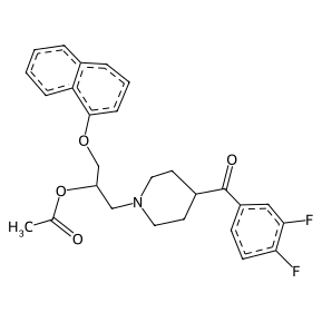 CC(=O)OC(COc1cccc2ccccc12)CN1CCC(C(=O)c2ccc(F)c(F)c2)CC1